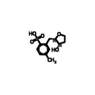 Cc1ccc(S(=O)(=O)O)c(C[C@H]2OCC[C@@H]2O)c1